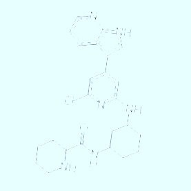 O=C(NC1CCCC(Nc2cc(-c3c[nH]c4ncccc34)cc(Cl)n2)C1)C1CCCCN1